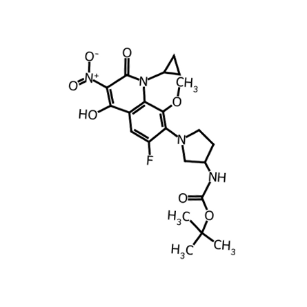 COc1c(N2CCC(NC(=O)OC(C)(C)C)C2)c(F)cc2c(O)c([N+](=O)[O-])c(=O)n(C3CC3)c12